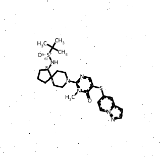 Cn1c(N2CCC3(CCC[C@H]3N[S@+]([O-])C(C)(C)C)CC2)ncc(Sc2ccn3nccc3c2)c1=O